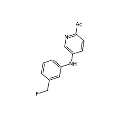 CC(=O)c1ccc(Nc2cccc(CF)c2)cn1